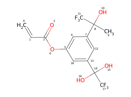 C=CC(=O)Oc1cc(C(C)(O)C(F)(F)F)cc(C(O)(O)C(F)(F)F)c1